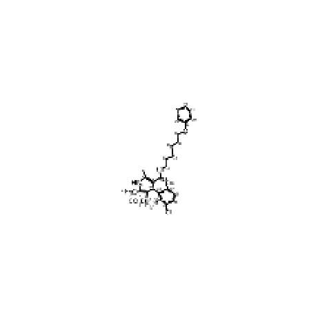 CCOC(=O)C1=C(CF)NC(C)=C(C(=O)OCCCCCCOc2cccnc2)C1c1c(F)ccc(Cl)c1C(F)(F)F